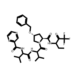 CCC(NC(=O)[C@@H]1C[C@@H](OCc2ccccc2)CN1C(=O)C(NC(=O)C(NC(=O)c1cnccn1)C(C)C)C(C)C)C(=O)C(F)(F)F